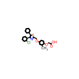 Cc1cc(OCc2nc(-c3ccccc3Cl)c(-c3ccccc3)s2)ccc1OCC(=O)O